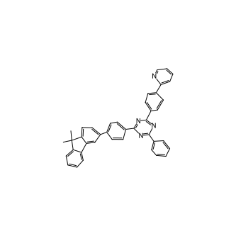 CC1(C)c2ccccc2-c2cc(-c3ccc(-c4nc(-c5ccccc5)nc(-c5ccc(-c6ccccn6)cc5)n4)cc3)ccc21